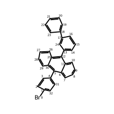 Brc1ccc(-c2c3ccccc3c(-c3cccc(-c4ccccc4)c3)c3ccccc23)cc1